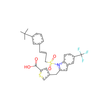 CC(C)(C)c1cccc(C=CCS(=O)(=O)n2c(Cc3csc(C(=O)O)c3)cc3cc(C(F)(F)F)ccc32)c1